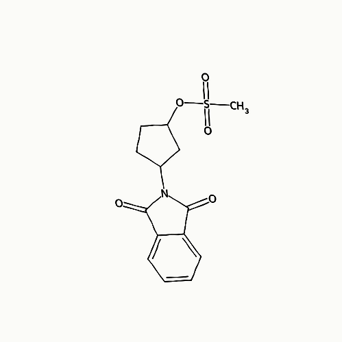 CS(=O)(=O)OC1CCC(N2C(=O)c3ccccc3C2=O)C1